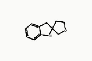 c1ccc2c(c1)CC1(CCOC1)N2